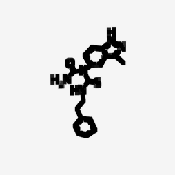 Cc1n[nH]c2ccc(N(C(N)=O)C(=S)NCCc3ccccc3)cc12